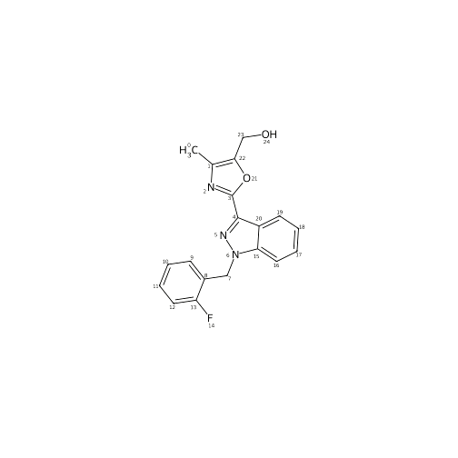 Cc1nc(-c2nn(Cc3ccccc3F)c3ccccc23)oc1CO